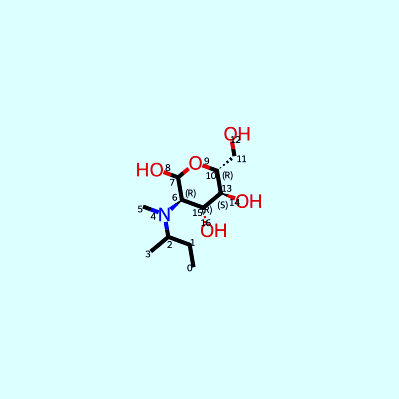 CCC(C)N(C)[C@H]1C(O)O[C@H](CO)[C@@H](O)[C@@H]1O